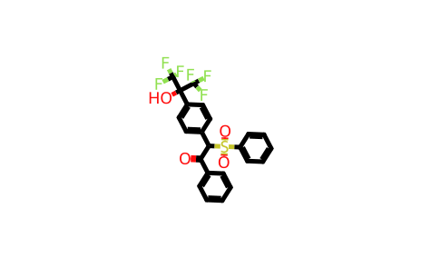 O=C(c1ccccc1)C(c1ccc(C(O)(C(F)(F)F)C(F)(F)F)cc1)S(=O)(=O)c1ccccc1